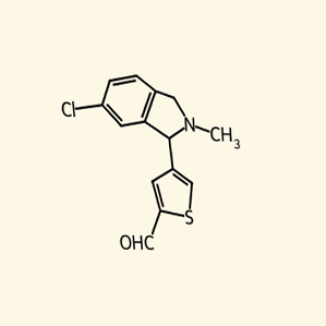 CN1Cc2ccc(Cl)cc2C1c1csc(C=O)c1